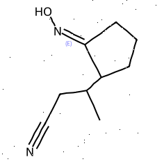 CC(CC#N)C1CCC/C1=N\O